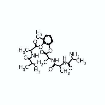 Cc1cccc(OC(=O)C(C)NC(=O)C(C)NC(=O)C(C)N)c1OC(=O)C(C)NC(=O)C(C)C